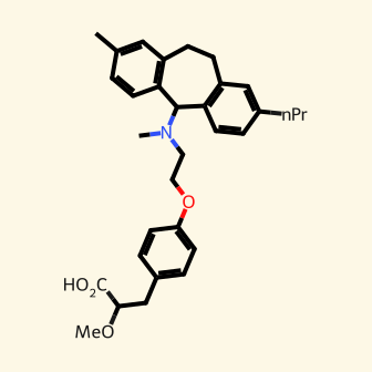 CCCc1ccc2c(c1)CCc1cc(C)ccc1C2N(C)CCOc1ccc(CC(OC)C(=O)O)cc1